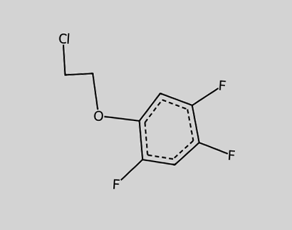 Fc1cc(F)c(OCCCl)cc1F